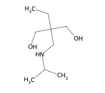 CCC(CO)(CO)CNC(C)C